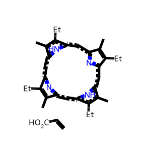 C=CC(=O)O.CCC1=C(C)c2cc3[nH]c(cc4nc(cc5[nH]c(cc1n2)c(C)c5CC)C(C)=C4CC)c(C)c3CC